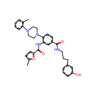 Cc1ccc(C(=O)Nc2cc(C(=O)NCCCc3cccc(O)c3)ccc2N2CCN(c3ccccc3C)CC2)o1